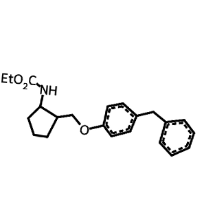 CCOC(=O)NC1CCCC1COc1ccc(Cc2ccccc2)cc1